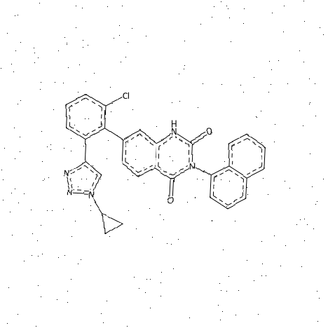 O=c1[nH]c2cc(-c3c(Cl)cccc3-c3cn(C4CC4)nn3)ccc2c(=O)n1-c1cccc2ccccc12